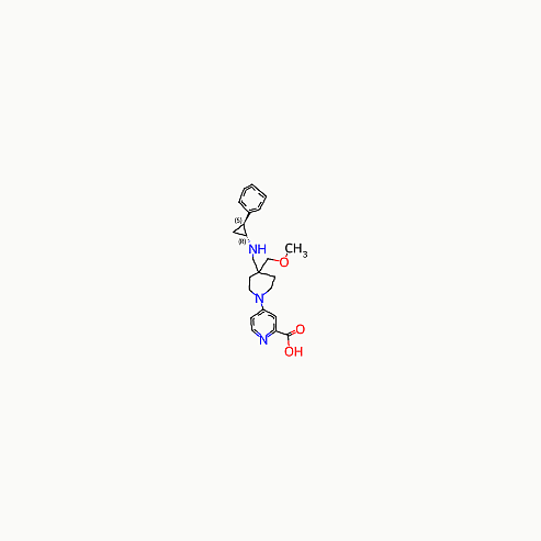 COCC1(CN[C@@H]2C[C@H]2c2ccccc2)CCN(c2ccnc(C(=O)O)c2)CC1